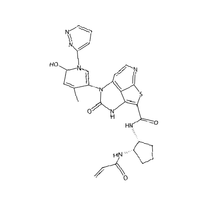 C=CC(=O)N[C@H]1CCC[C@H]1NC(=O)c1sc2nccc3c2c1NC(=O)N3C1=CN(c2cccnn2)C(O)C=C1C